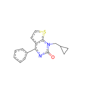 O=c1nc(-c2ccccc2)c2ccsc2n1CC1CC1